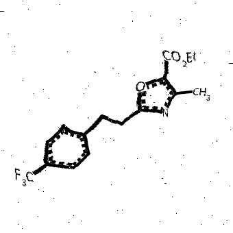 CCOC(=O)c1oc(CCc2ccc(C(F)(F)F)cc2)nc1C